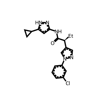 CC[C@H](C(=O)Nc1cc(C2CC2)[nH]n1)c1cnn(-c2cccc(Cl)c2)c1